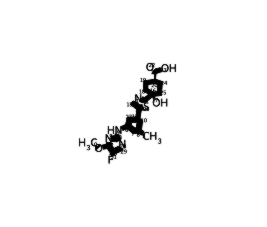 COc1nc(Nc2cc(C)cc(-c3cnc([C@]4(O)CC[C@@H](C(=O)O)CC4)s3)c2)ncc1F